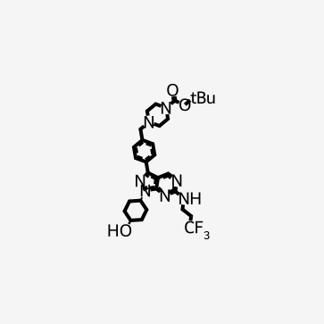 CC(C)(C)OC(=O)N1CCN(Cc2ccc(-c3nn([C@H]4CC[C@H](O)CC4)c4nc(NCCC(F)(F)F)ncc34)cc2)CC1